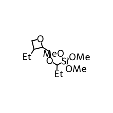 CCC1COC1COC(CC)[Si](OC)(OC)OC